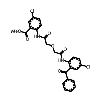 COC(=O)c1cc(Cl)ccc1NC(=O)COCC(=O)Nc1ccc(Cl)cc1C(=O)c1ccccc1